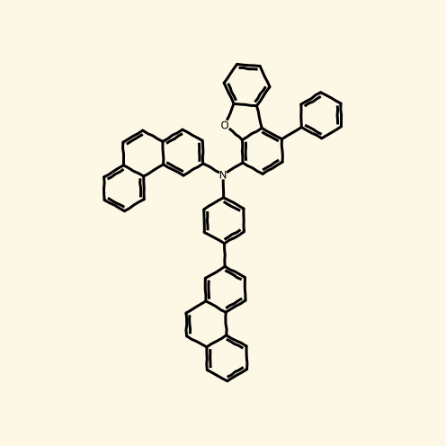 c1ccc(-c2ccc(N(c3ccc(-c4ccc5c(ccc6ccccc65)c4)cc3)c3ccc4ccc5ccccc5c4c3)c3oc4ccccc4c23)cc1